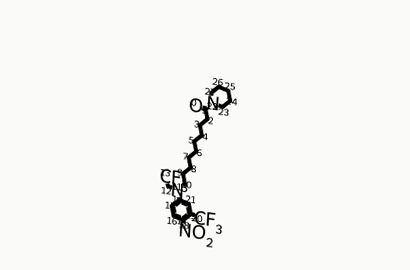 O=C(CCCCCCCCCN(CC(F)(F)F)c1ccc([N+](=O)[O-])c(C(F)(F)F)c1)N1CCCCC1